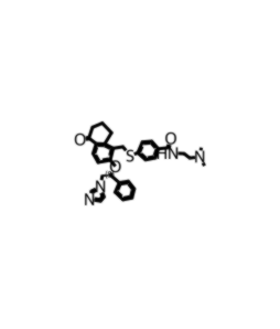 CN(C)CCNC(=O)c1ccc(SCc2c(O[C@H](Cn3ccnc3)c3ccccc3)ccc3c2CCCC3=O)cc1